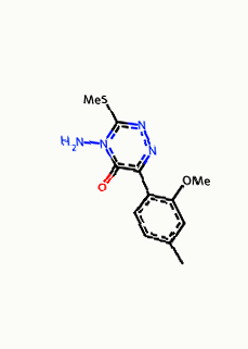 COc1cc(C)ccc1-c1nnc(SC)n(N)c1=O